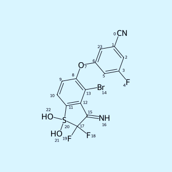 N#Cc1cc(F)cc(Oc2ccc3c(c2Br)C(=N)C(F)(F)S3(O)O)c1